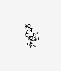 CCc1nc(NCCN(CC)CC)nc(Nc2ncc(C(=O)Nc3c(C)cccc3Cl)o2)n1